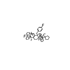 CC(F)(c1ccc2c(c1)CC[C@H]1N(C(=O)C3(C(F)(F)F)CCCC3)CC[C@@]21Cc1ccc(F)cc1)C(F)(F)F